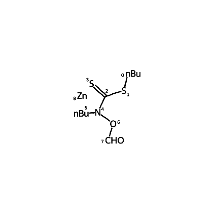 CCCCSC(=S)N(CCCC)OC=O.[Zn]